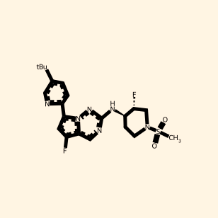 CC(C)(C)c1ccc(-c2cc(F)c3cnc(N[C@@H]4CCN(S(C)(=O)=O)C[C@H]4F)nn23)nc1